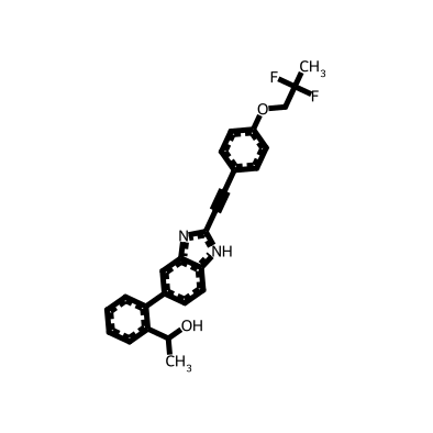 CC(O)c1ccccc1-c1ccc2[nH]c(C#Cc3ccc(OCC(C)(F)F)cc3)nc2c1